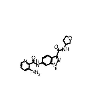 Cn1nc(C(=O)NC2CCOC2)c2ccc(NC(=O)c3ncccc3N)cc21